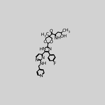 CC(O)CC(=N)C(=O)C1(C)COC(c2nc(-c3ccc(F)cc3)c(-c3ccnc(NCc4ccncc4)n3)[nH]2)OC1